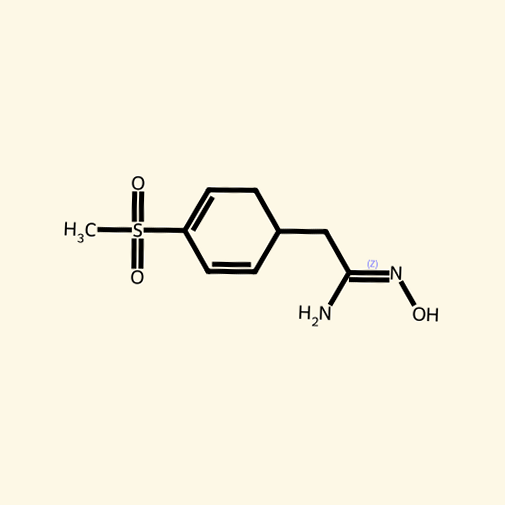 CS(=O)(=O)C1=CCC(C/C(N)=N/O)C=C1